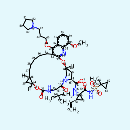 C=C[C@@H]1C[C@]1(NC(=O)[C@@H]1C[C@@H]2CN1C(=O)[C@H](C(C)(C)C)NC(=O)O[C@@H]1C[C@H]1CCCCCc1c(nc3c(OC)cccc3c1OCCCN1CCCC1)O2)C(=O)NS(=O)(=O)C1(C)CC1